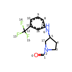 O=CN1CCC(Nc2cccc(C(F)(F)F)c2)C1